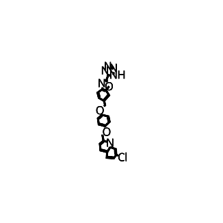 Clc1ccc2ccc(COc3ccc(OCc4ccc5nc(-c6nnn[nH]6)oc5c4)cc3)nc2c1